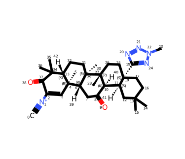 [C-]#[N+]C1=C[C@]2(C)[C@H]3CC(=O)[C@@H]4[C@@H]5CC(C)(C)CC[C@]5(c5nnn(C)n5)CC[C@@]4(C)[C@]3(C)CC[C@H]2C(C)(C)C1=O